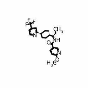 CC[C@@H](NC(=O)c1ccc(OC)nc1)[C@H]1CC[C@H](c2cc(C(F)(F)F)ccn2)CC1